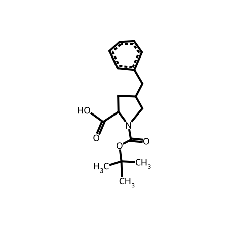 CC(C)(C)OC(=O)N1CC(Cc2ccccc2)CC1C(=O)O